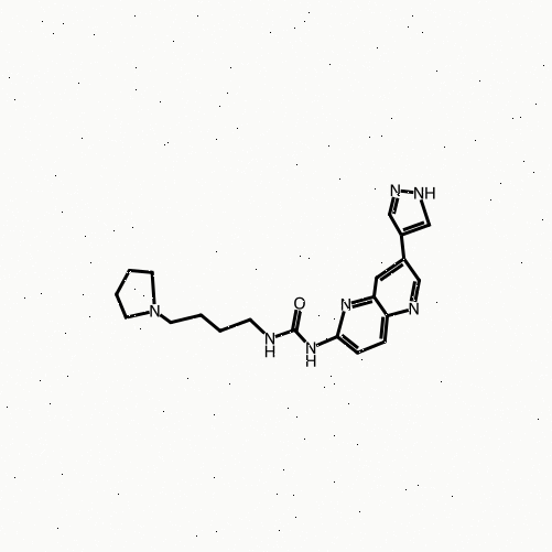 O=C(NCCCCN1CCCC1)Nc1ccc2ncc(-c3cn[nH]c3)cc2n1